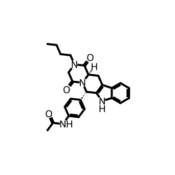 CCCCN1CC(=O)N2[C@@H](c3ccc(NC(C)=O)cc3)c3[nH]c4ccccc4c3C[C@@H]2C1=O